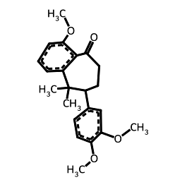 COc1ccc(C2CCC(=O)c3c(OC)cccc3C2(C)C)cc1OC